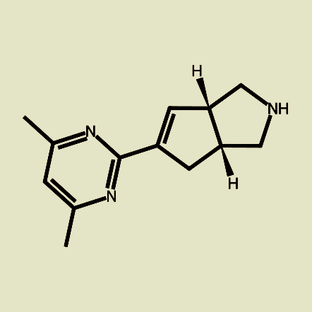 Cc1cc(C)nc(C2=C[C@@H]3CNC[C@@H]3C2)n1